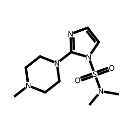 CN1CCN(c2nccn2S(=O)(=O)N(C)C)CC1